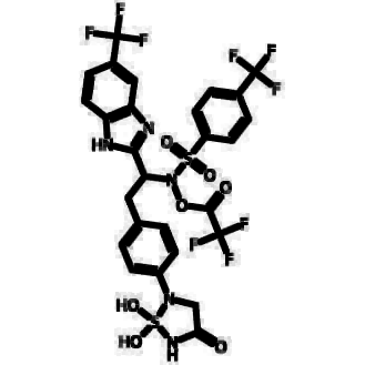 O=C1CN(c2ccc(CC(c3nc4cc(C(F)(F)F)ccc4[nH]3)N(OC(=O)C(F)(F)F)S(=O)(=O)c3ccc(C(F)(F)F)cc3)cc2)S(O)(O)N1